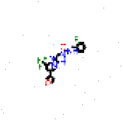 O=C(NCc1cn2cc(-c3ccoc3)cc(C(F)(F)F)c2n1)NCc1ccccc1F